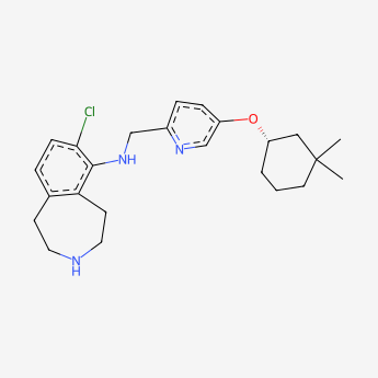 CC1(C)CCC[C@H](Oc2ccc(CNc3c(Cl)ccc4c3CCNCC4)nc2)C1